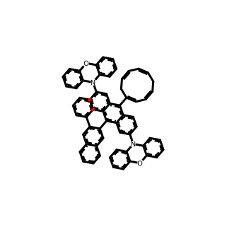 C1=C\C/C=C\C=C(\c2c3cc(N4c5ccccc5Oc5ccccc54)ccc3c(-c3cc4ccccc4cc3-c3ccccc3)c3cc(N4c5ccccc5Oc5ccccc54)ccc23)C\C=C/1